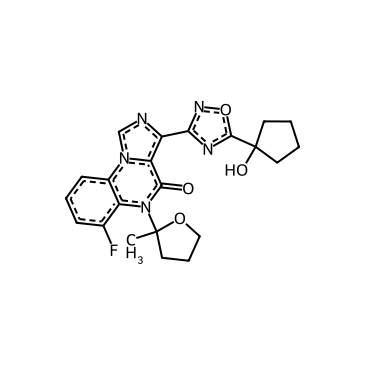 CC1(n2c(=O)c3c(-c4noc(C5(O)CCCC5)n4)ncn3c3cccc(F)c32)CCCO1